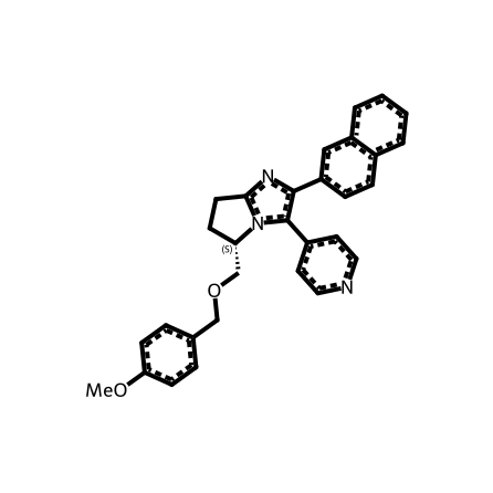 COc1ccc(COC[C@@H]2CCc3nc(-c4ccc5ccccc5c4)c(-c4ccncc4)n32)cc1